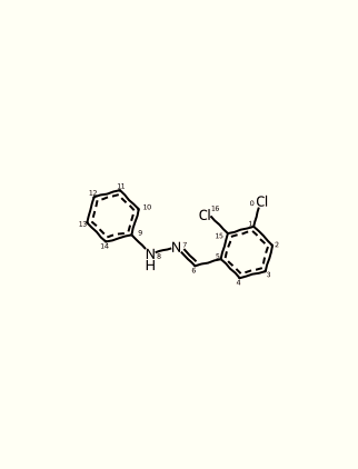 Clc1cccc(C=NNc2ccccc2)c1Cl